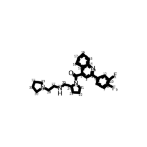 O=C(c1cc(-c2ccc(F)c(F)c2)nc2ccccc12)N1CCCC1CNCCN1CCCC1